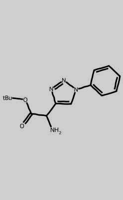 CC(C)(C)OC(=O)C(N)c1cn(-c2ccccc2)nn1